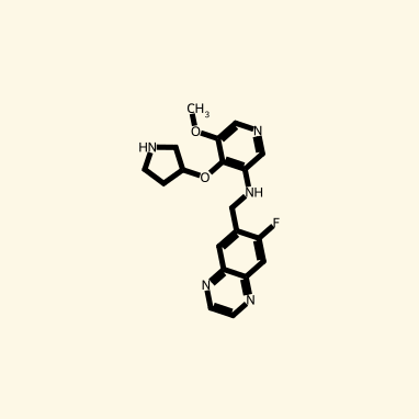 COc1cncc(NCc2cc3nccnc3cc2F)c1OC1CCNC1